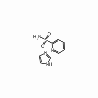 NS(=O)(=O)c1ccccn1.c1c[nH]cn1